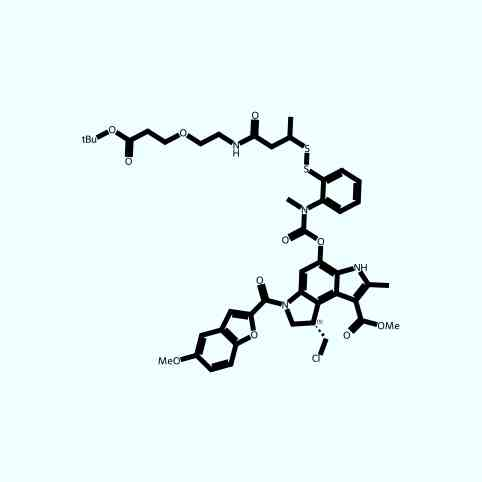 COC(=O)c1c(C)[nH]c2c(OC(=O)N(C)c3ccccc3SSC(C)CC(=O)NCCOCCC(=O)OC(C)(C)C)cc3c(c12)[C@H](CCl)CN3C(=O)c1cc2cc(OC)ccc2o1